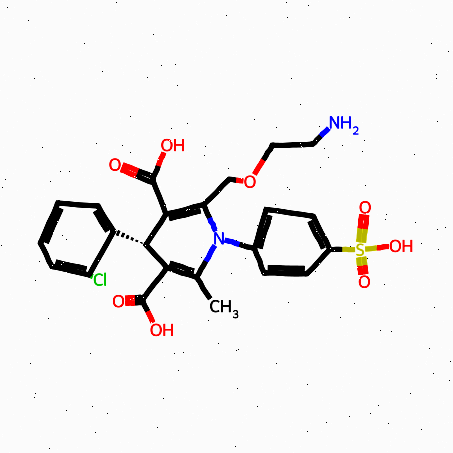 CC1=C(C(=O)O)[C@H](c2ccccc2Cl)C(C(=O)O)=C(COCCN)N1c1ccc(S(=O)(=O)O)cc1